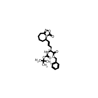 CC(C)(C)OC(=O)N[C@@H](CC=CC1CCCCc2noc(=O)n21)C(=O)OCc1ccccc1